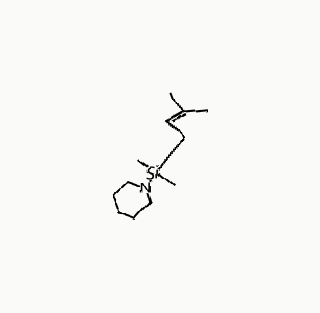 CC(C)=CC[Si](C)(C)N1CCCCC1